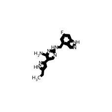 CCc1cc(-c2cnc(NCc3cc(F)cc4[nH]ncc34)nc2N)n[nH]1